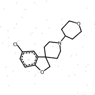 Clc1ccc2c(c1)C1(CCN(C3CCOCC3)CC1)CO2